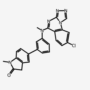 CN1C(=O)Cc2cc(-c3cccc(N(C)c4nc5nncn5c5cc(Cl)ccc45)c3)ccc21